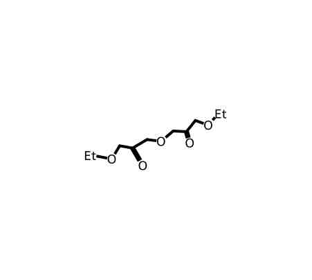 CCOCC(=O)COCC(=O)COCC